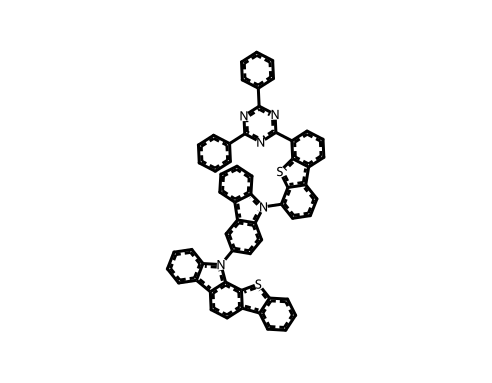 c1ccc(-c2nc(-c3ccccc3)nc(-c3cccc4c3sc3c(-n5c6ccccc6c6cc(-n7c8ccccc8c8ccc9c%10ccccc%10sc9c87)ccc65)cccc34)n2)cc1